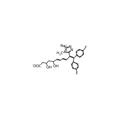 Cn1nnnc1C(C=CC=CC(O)CC(O)CC(=O)[O-])=C(c1ccc(F)cc1)c1ccc(F)cc1.[Na+]